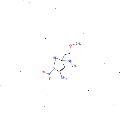 CNC1(CCOC)C=C(N)C([N+](=O)[O-])=CN1